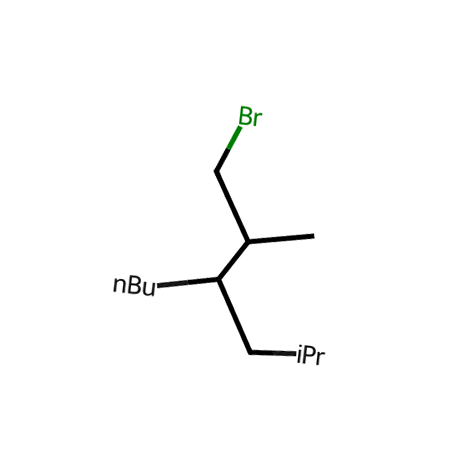 CCCCC(CC(C)C)C(C)CBr